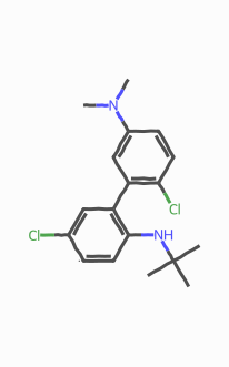 CN(C)c1ccc(Cl)c(-c2cc(Cl)[c]cc2NC(C)(C)C)c1